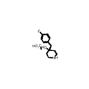 CC(=O)O.OC1(Cc2ccc(F)cc2)CCNCC1